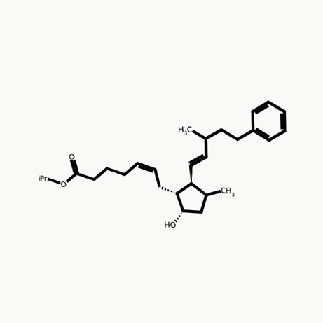 CC(/C=C/[C@H]1C(C)C[C@H](O)[C@@H]1C/C=C\CCCC(=O)OC(C)C)CCc1ccccc1